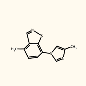 Cc1cn(-c2ccc(C)c3cnsc23)cn1